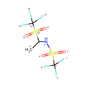 CC(NS(=O)(=O)C(F)(F)F)S(=O)(=O)C(F)(F)F